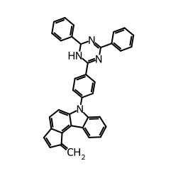 C=C1C=Cc2ccc3c(c21)c1ccccc1n3-c1ccc(C2=NC(c3ccccc3)=NC(c3ccccc3)N2)cc1